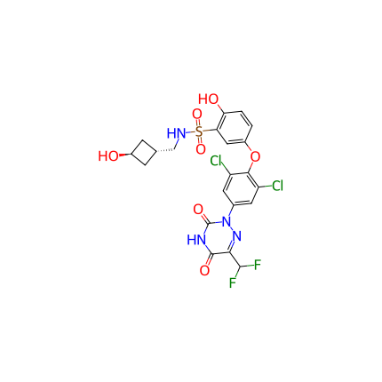 O=c1[nH]c(=O)n(-c2cc(Cl)c(Oc3ccc(O)c(S(=O)(=O)NC[C@H]4C[C@H](O)C4)c3)c(Cl)c2)nc1C(F)F